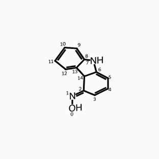 ON=C1C=CC=C2Nc3ccccc3C21